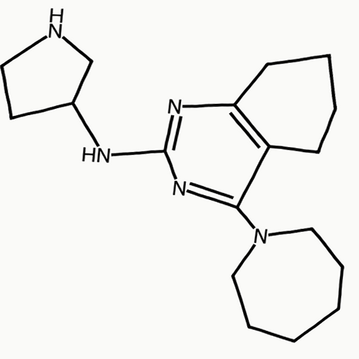 C1CCCN(c2nc(NC3CCNC3)nc3c2CCCC3)CC1